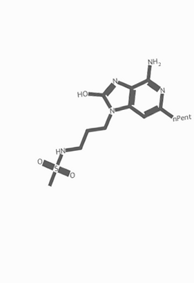 CCCCCc1cc2c(nc(O)n2CCCNS(C)(=O)=O)c(N)n1